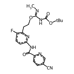 C/N=C(/NC(=O)OC(C)(C)C)OCCc1nc(NC(=O)c2ccc(C#N)cn2)ccc1F